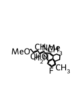 CN/C(=C\C(C)=C(/C=O)COC)C/C(C)=C1/CCCc2c(C)c(F)cc(N)c21